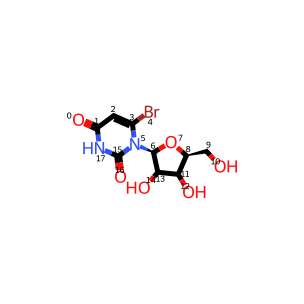 O=c1cc(Br)n([C@H]2O[C@@H](CO)C(O)C2O)c(=O)[nH]1